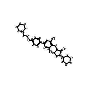 O=C1C(Cc2c(Cl)cc(-c3ccc(OCCN4CCCCC4)cc3)cc2Cl)CCN1C1CCCCC1